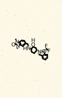 Cn1c(=O)n(C)c2cc(CN[C@@H]3CC[C@@H](NCc4ccccc4OC(F)F)C[C@@H]3O)ccc21